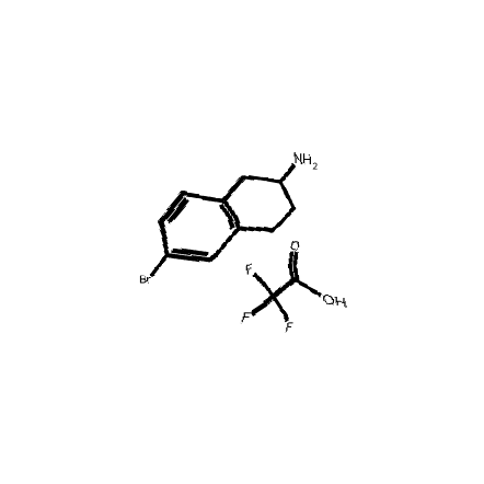 NC1CCc2cc(Br)ccc2C1.O=C(O)C(F)(F)F